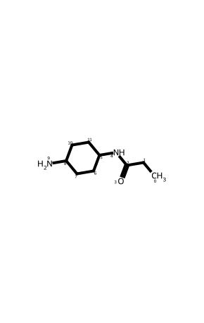 CCC(=O)NC1CCC(N)CC1